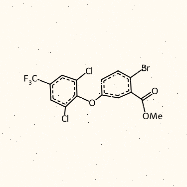 COC(=O)c1cc(Oc2c(Cl)cc(C(F)(F)F)cc2Cl)ccc1Br